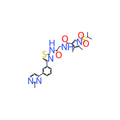 Cc1nccc(-c2cccc(-c3csc(NC(=O)CNC(=O)c4cn(S(=O)(=O)C(C)C)c(C)c4C)n3)c2)n1